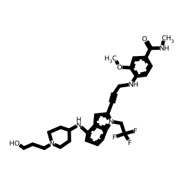 CNC(=O)c1ccc(NCC#Cc2cc3c(NC4CCN(CCCO)CC4)cccc3n2CC(F)(F)F)c(OC)c1